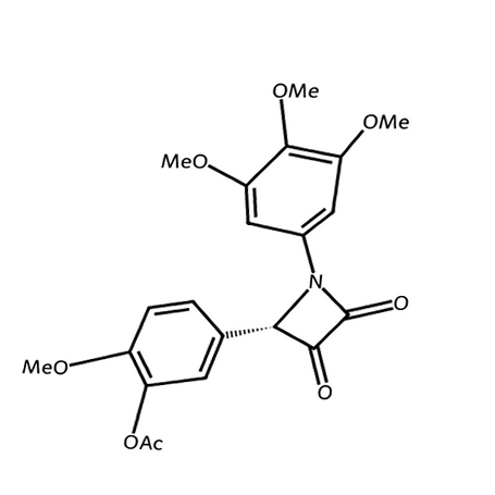 COc1ccc([C@H]2C(=O)C(=O)N2c2cc(OC)c(OC)c(OC)c2)cc1OC(C)=O